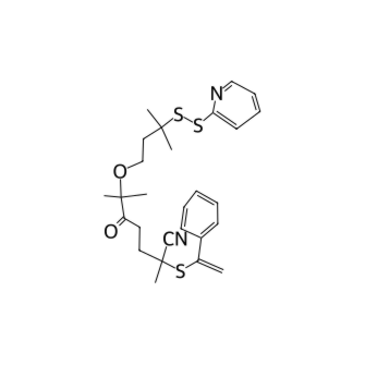 C=C(SC(C)(C#N)CCC(=O)C(C)(C)OCCC(C)(C)SSc1ccccn1)c1ccccc1